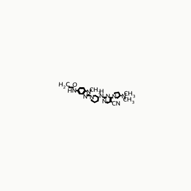 C=CC(=O)Nc1ccc2c(c1)nc(N1CCC[C@@H](Nc3ncc(C#N)c(N4CC[C@@H](N(C)C)C4)n3)C1)n2C